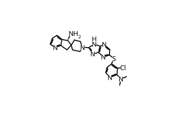 CN(C)c1nccc(Sc2cnc3[nH]c(N4CCC5(CC4)Cc4ncccc4[C@H]5N)nc3n2)c1Cl